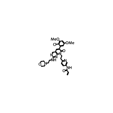 C=CC(=O)Nc1ccc(CCn2c(=O)c(-c3cc(OC)cc(OC)c3Cl)cc3cnc(NCCN4CCOCC4)nc32)nc1